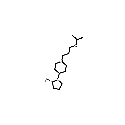 CC(C)OCCCN1CCC(N2CCC[C@@H]2N)CC1